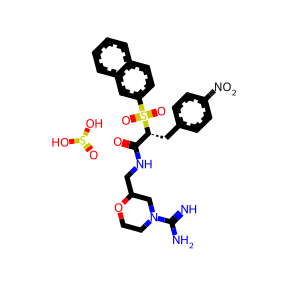 N=C(N)N1CCOC(CNC(=O)[C@@H](Cc2ccc([N+](=O)[O-])cc2)S(=O)(=O)c2ccc3ccccc3c2)C1.O=S(O)O